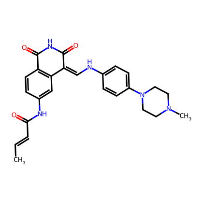 C/C=C/C(=O)Nc1ccc2c(c1)C(=CNc1ccc(N3CCN(C)CC3)cc1)C(=O)NC2=O